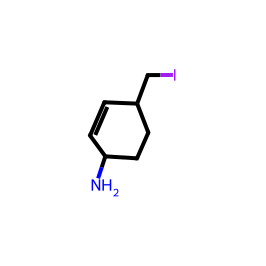 NC1C=CC(CI)CC1